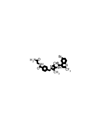 Cc1nn(Cc2ccc(C(=O)NCC(N)=O)cc2)c(C)c1NC(=O)c1cc(C(F)(F)F)nc2ccc(Br)cc12